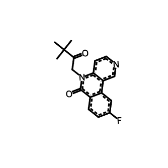 CC(C)(C)C(=O)Cn1c(=O)c2ccc(F)cc2c2cnccc21